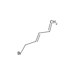 C=CC=CCBr